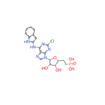 O=P(O)(O)CCC1OC(n2cnc3c(Nc4cc5ccccc5[nH]4)nc(Cl)nc32)C(O)C1O